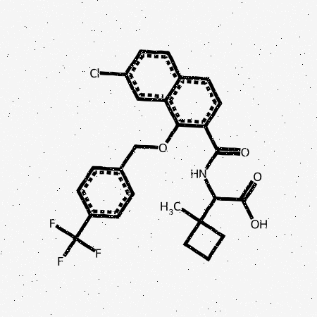 CC1(C(NC(=O)c2ccc3ccc(Cl)cc3c2OCc2ccc(C(F)(F)F)cc2)C(=O)O)CCC1